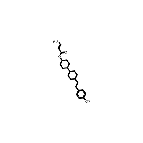 CC=CC(=O)OC1CCC(C2CCC(CCc3ccc(C#N)cc3)CC2)CC1